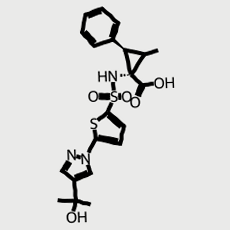 CC1[C@H](c2ccccc2)[C@]1(NS(=O)(=O)c1ccc(-n2cc(C(C)(C)O)cn2)s1)C(=O)O